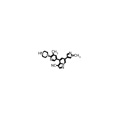 Cc1cc(-c2cc(-c3cnn(C)c3)cn3ncc(C#N)c23)cnc1N1CCNCC1